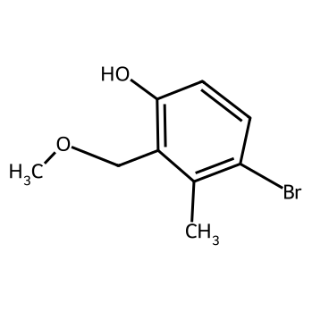 COCc1c(O)ccc(Br)c1C